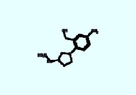 Nc1ccc(N2CC[C@@H](NC(=O)O)C2)c(CO)c1